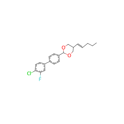 CCCC=CC1COC(c2ccc(-c3ccc(Cl)c(F)c3)cc2)OC1